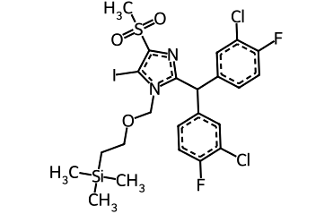 C[Si](C)(C)CCOCn1c(C(c2ccc(F)c(Cl)c2)c2ccc(F)c(Cl)c2)nc(S(C)(=O)=O)c1I